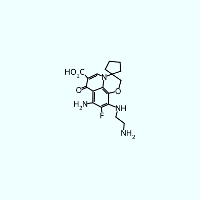 NCCNc1c(F)c(N)c2c(=O)c(C(=O)O)cn3c2c1OCC31CCCC1